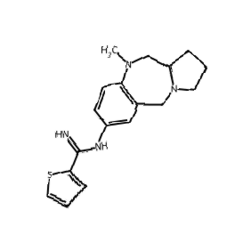 CN1CC2CCCN2Cc2cc(NC(=N)c3cccs3)ccc21